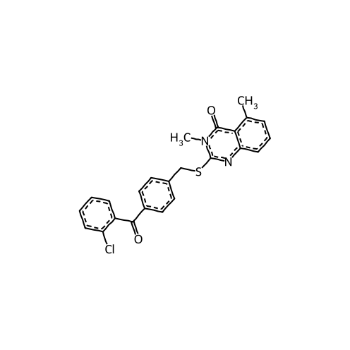 Cc1cccc2nc(SCc3ccc(C(=O)c4ccccc4Cl)cc3)n(C)c(=O)c12